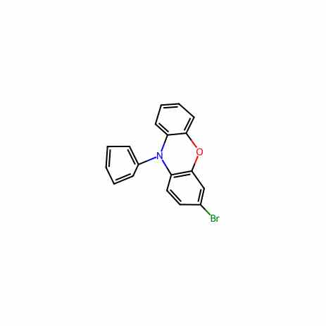 Brc1ccc2c(c1)Oc1ccccc1N2c1ccccc1